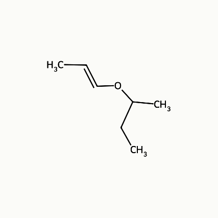 C/C=C/OC(C)CC